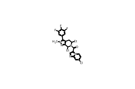 CCC1Cc2c(nn(C)c2-c2cc(F)c(F)c(F)c2)C(CC)N1C(=O)c1cnc2cc(Cl)ccn12